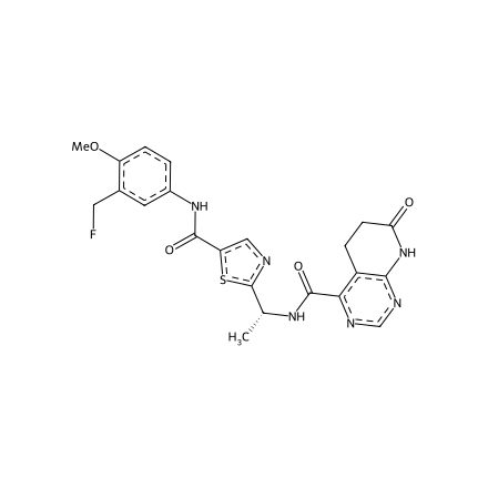 COc1ccc(NC(=O)c2cnc([C@@H](C)NC(=O)c3ncnc4c3CCC(=O)N4)s2)cc1CF